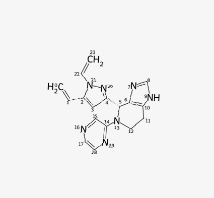 C=Cc1cc([C@@H]2c3nc[nH]c3CCN2c2cnccn2)nn1C=C